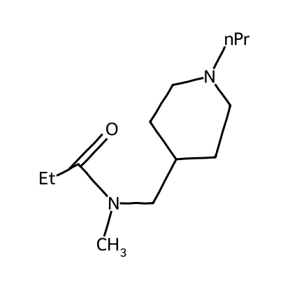 CCCN1CCC(CN(C)C(=O)CC)CC1